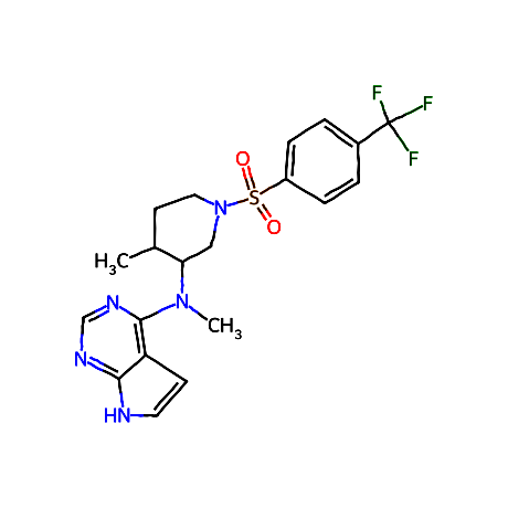 CC1CCN(S(=O)(=O)c2ccc(C(F)(F)F)cc2)CC1N(C)c1ncnc2[nH]ccc12